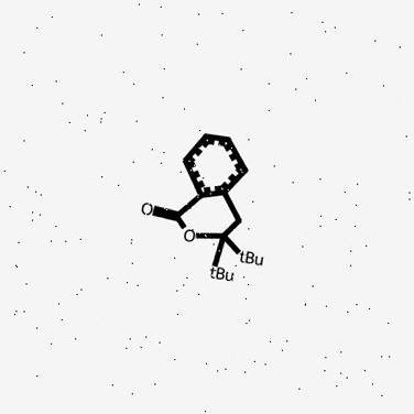 CC(C)(C)C1(C(C)(C)C)Cc2ccccc2C(=O)O1